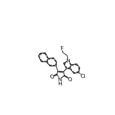 O=C1NC(=O)C(c2cn(CCF)c3ccc(Cl)cc23)=C1c1ccc2ccccc2c1